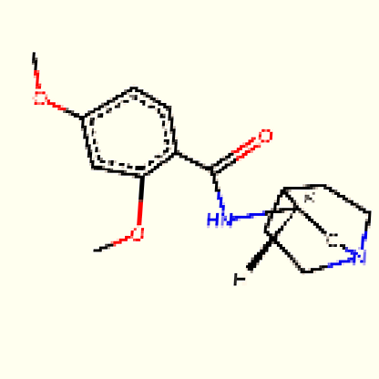 COc1ccc(C(=O)N[C@H]2CN3CCC2CC3)c(OC)c1